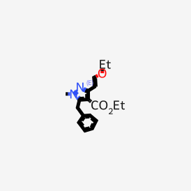 CCO/C=C/c1nn(C)c(Cc2ccccc2)c1C(=O)OCC